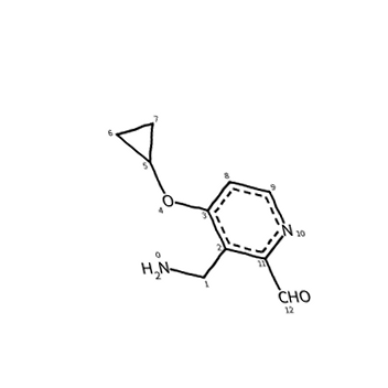 NCc1c(OC2CC2)ccnc1C=O